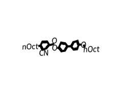 CCCCCCCCOc1ccc(-c2ccc(OC(=O)c3ccc(CCCCCCCC)c(C#N)c3)cc2)cc1